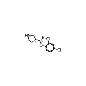 CC[C@H](Oc1ccc(Cl)cc1Cl)[C@H]1CCNC1